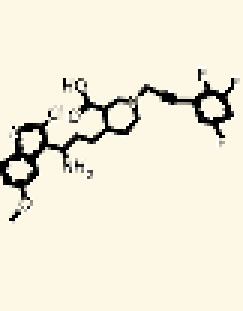 COc1ccc2ncc(Cl)c(C(N)CCC3CCN(CC#Cc4cc(F)cc(F)c4F)CC3C(=O)O)c2c1